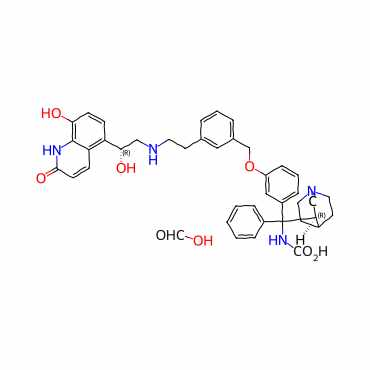 O=C(O)NC(c1ccccc1)(c1cccc(OCc2cccc(CCNC[C@H](O)c3ccc(O)c4[nH]c(=O)ccc34)c2)c1)[C@H]1CN2CCC1CC2.O=CO